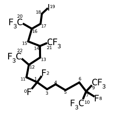 FC(F)(CCCCC(F)(C(F)(F)F)C(F)(F)F)CC(CC(CC(CCI)C(F)(F)F)C(F)(F)F)C(F)(F)F